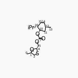 CC1CS[C@H](COC(=O)O[C@@H]2C[C@H](C)CC[C@H]2C(C)C)O1